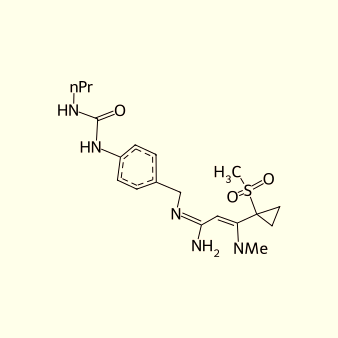 CCCNC(=O)Nc1ccc(C/N=C(N)\C=C(/NC)C2(S(C)(=O)=O)CC2)cc1